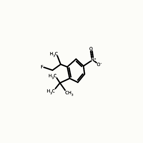 C[C](CF)c1cc([N+](=O)[O-])ccc1C(C)(C)C